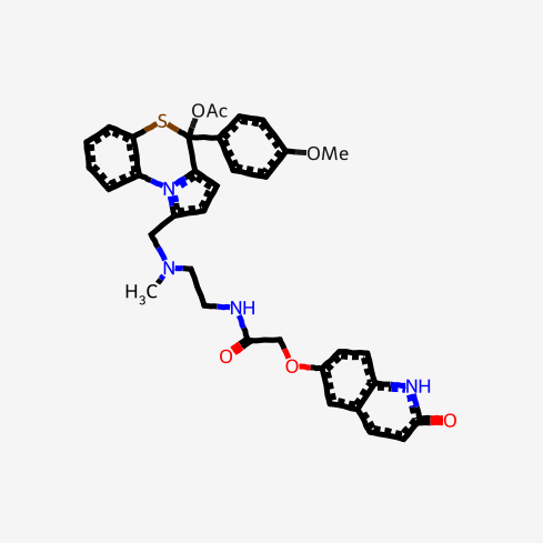 COc1ccc(C2(OC(C)=O)Sc3ccccc3-n3c(CN(C)CCNC(=O)COc4ccc5[nH]c(=O)ccc5c4)ccc32)cc1